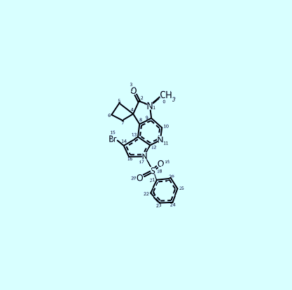 CN1C(=O)C2(CCC2)c2c1cnc1c2c(Br)cn1S(=O)(=O)c1ccccc1